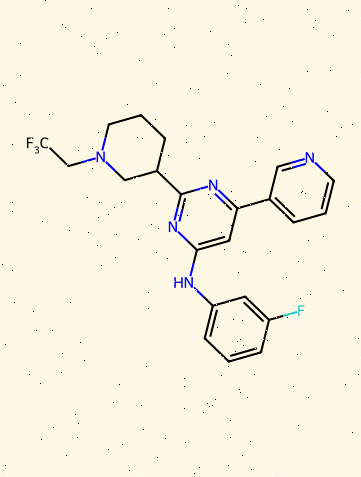 Fc1cccc(Nc2cc(-c3cccnc3)nc(C3CCCN(CC(F)(F)F)C3)n2)c1